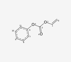 C=COC(=O)Oc1ccccc1